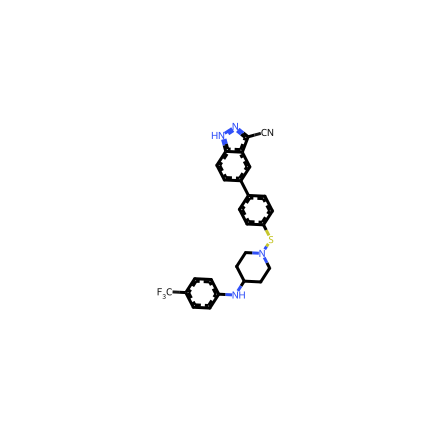 N#Cc1n[nH]c2ccc(-c3ccc(SN4CCC(Nc5ccc(C(F)(F)F)cc5)CC4)cc3)cc12